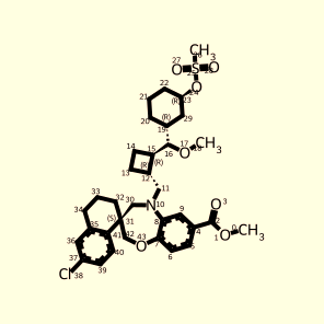 COC(=O)c1ccc2c(c1)N(C[C@@H]1CC[C@H]1C(OC)[C@@H]1CCC[C@@H](OS(C)(=O)=O)C1)C[C@@]1(CCCc3cc(Cl)ccc31)CO2